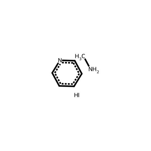 CN.I.c1ccncc1